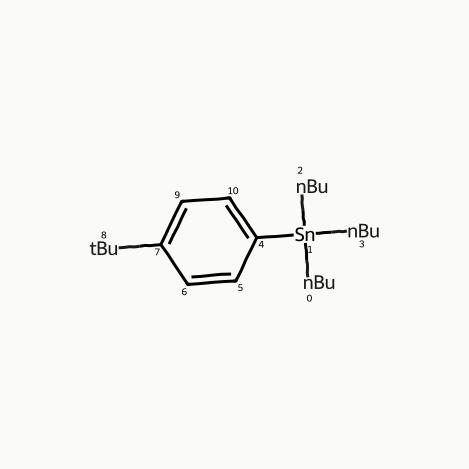 CCC[CH2][Sn]([CH2]CCC)([CH2]CCC)[c]1ccc(C(C)(C)C)cc1